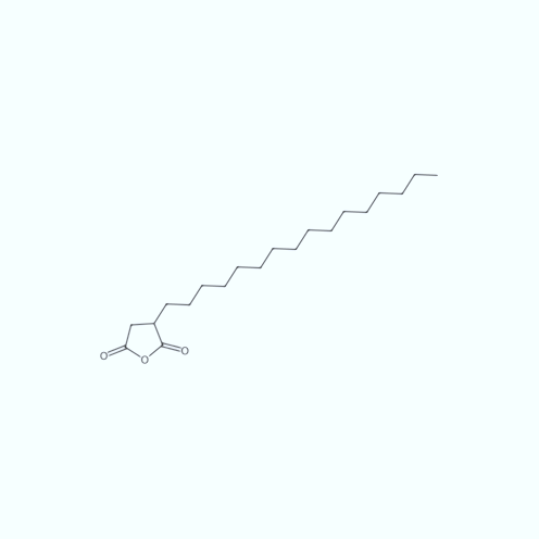 CCCCCCCCCCCCCCCCC1CC(=O)OC1=O